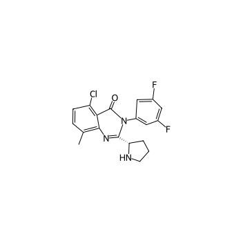 Cc1ccc(Cl)c2c(=O)n(-c3cc(F)cc(F)c3)c([C@@H]3CCCN3)nc12